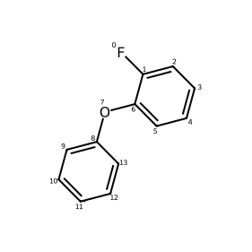 Fc1ccccc1Oc1cc[c]cc1